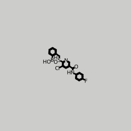 O=C(Nc1ccc(F)cc1)c1cnc(SCc2ccccc2B(O)O)c(Cl)c1